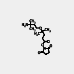 CC(C)(N)CCOC(C)(C)CCC(=O)ON1C(=O)CCC1=O